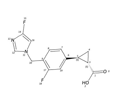 O=C(O)[C@H]1C[C@@H]1c1ccc(Cn2cnc(F)c2)c(F)c1